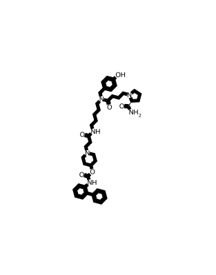 NC(=O)[C@H]1CCCN1CCCC(=O)N(CCCCCNC(=O)CCN1CCC(OC(=O)Nc2ccccc2-c2ccccc2)CC1)Cc1ccc(O)cc1